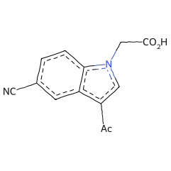 CC(=O)c1cn(CC(=O)O)c2ccc(C#N)cc12